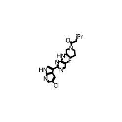 CC(C)CC(=O)N1CCC[C@H](Nc2nc(-c3c[nH]c4ncc(Cl)cc34)ncc2F)C1